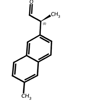 Cc1ccc2cc([C@H](C)C=O)ccc2c1